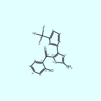 Nc1nc(-c2cccc(C(F)(F)F)c2)c(C(=O)c2ccccc2Cl)s1